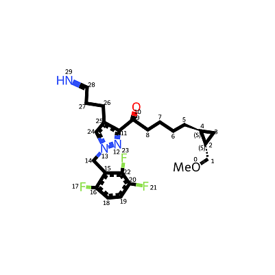 COC[C@H]1C[C@@H]1CCCCC(=O)c1nn(Cc2c(F)ccc(F)c2F)cc1CCC=N